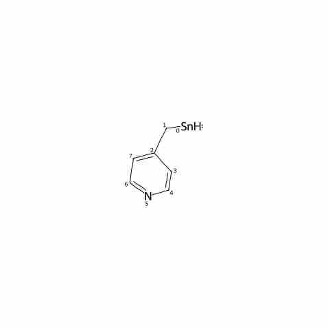 [SnH][CH2]c1ccncc1